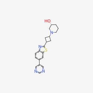 O[C@@H]1CCCN(C2CC(c3nc4ccc(-c5cncnc5)cc4s3)C2)C1